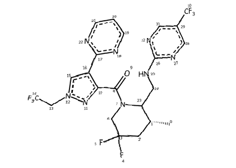 C[C@@H]1CC(F)(F)CN(C(=O)c2nn(CC(F)(F)F)cc2-c2ncccn2)C1CNc1ncc(C(F)(F)F)cn1